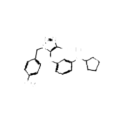 CCOC(=O)c1nnn(Cc2ccc(OC)cc2)c1Sc1cccc(OC2CCCC2)c1